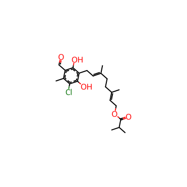 C/C(=C\COC(=O)C(C)C)CC/C(C)=C/Cc1c(O)c(Cl)c(C)c(C=O)c1O